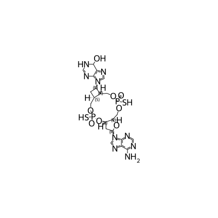 Nc1ncnc2c1ncn2[C@H]1C[C@@H]2OP(=O)(S)OC[C@H]3C[C@@H](n4cnc5c4N=CNC5O)[C@@H]3COP(=O)(S)OC[C@H]2O1